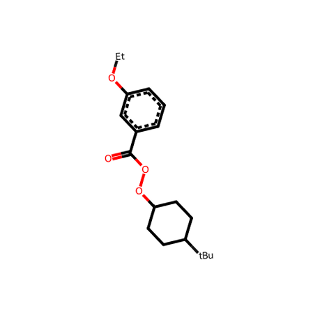 CCOc1cccc(C(=O)OO[C]2CCC(C(C)(C)C)CC2)c1